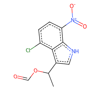 CC(OC=O)c1c[nH]c2c([N+](=O)[O-])ccc(Cl)c12